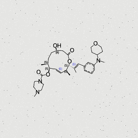 C/C(=C\c1cccc(N(C)C2CCOCC2)c1)[C@H]1OC(=O)C[C@H](O)CC[C@H](C)[C@H](OC(=O)N2CCN(C)CC2)/C=C/[C@@H]1C